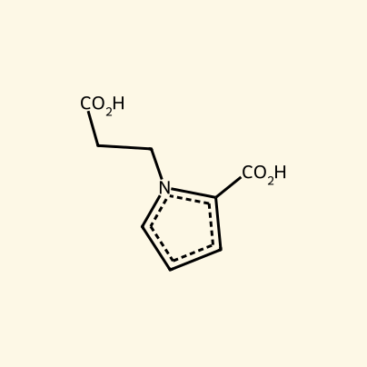 O=C(O)CCn1cccc1C(=O)O